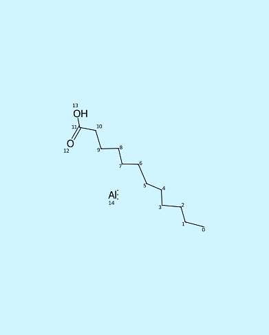 CCCCCCCCCCCC(=O)O.[Al]